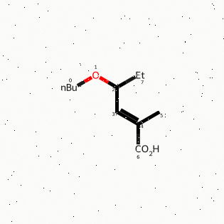 CCCCOC(C=C(C)C(=O)O)CC